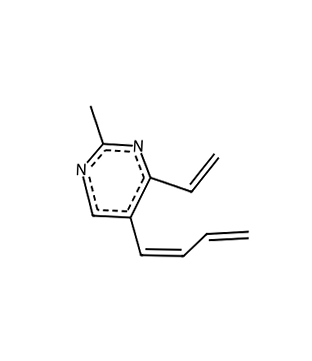 C=C/C=C\c1cnc(C)nc1C=C